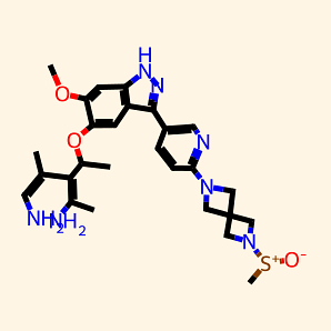 COc1cc2[nH]nc(-c3ccc(N4CC5(C4)CN([S+](C)[O-])C5)nc3)c2cc1OC(C)C(/C(C)=C\N)=C(\C)N